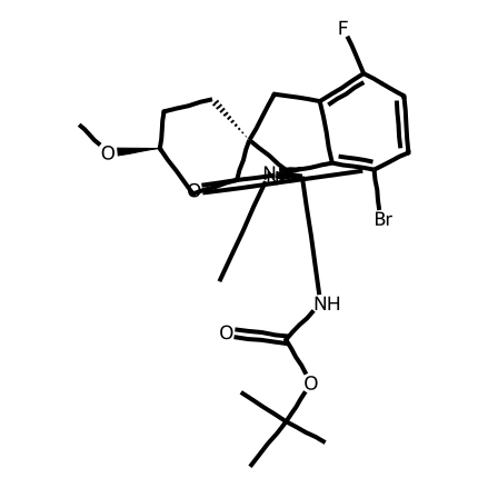 CO[C@H]1CC[C@]2(CC1)Cc1c(F)ccc(Br)c1C21N=C(NC(=O)OC(C)(C)C)N(C)C1=O